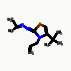 C=CCn1c(C(C)(C)C)csc1=NN=C(C)C